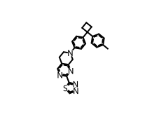 Cc1ccc(C2(c3ccc(N4CCc5cnc(-c6nncs6)nc5C4)cc3)CCC2)cc1